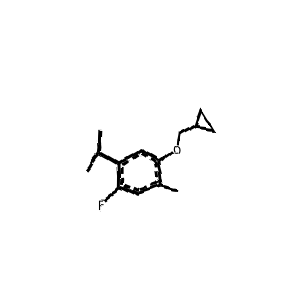 Cc1cc(F)c(C(C)C)cc1OCC1CC1